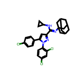 Clc1ccc(-c2cc(C(=NC34CC5CC(CC(C5)C3)C4)NC3CC3)nn2-c2ccc(Cl)cc2Cl)cc1